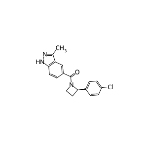 Cc1n[nH]c2ccc(C(=O)N3CC[C@@H]3c3ccc(Cl)cc3)cc12